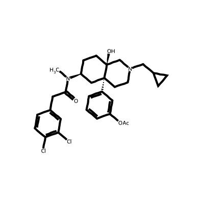 CC(=O)Oc1cccc([C@@]23CCN(CC4CC4)C[C@@]2(O)CC[C@H](N(C)C(=O)Cc2ccc(Cl)c(Cl)c2)C3)c1